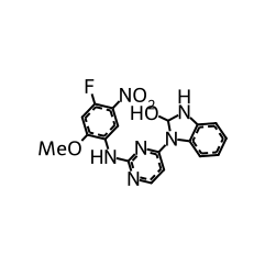 COc1cc(F)c([N+](=O)[O-])cc1Nc1nccc(N2c3ccccc3NC2O)n1